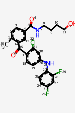 Cc1ccc(C(=O)NCCCCO)cc1C(=O)c1ccc(Nc2ccc(F)cc2F)cc1Cl